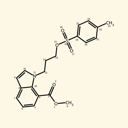 COC(=O)c1cccc2ccn(CCCOS(=O)(=O)c3ccc(C)cc3)c12